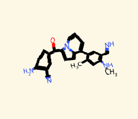 CNc1cc(C)c(-c2cccn3c(C(=O)c4ccc(N)c(C#N)c4)ccc23)cc1C=N